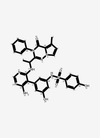 Cc1ccn2nc(C(C)Nc3ncnc(N)c3-c3cc(O)cc(NS(=O)(=O)c4ccc(O)cc4)c3)n(-c3ccccc3)c(=O)c12